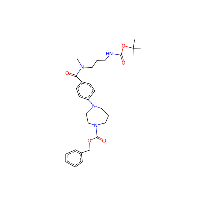 CN(CCCNC(=O)OC(C)(C)C)C(=O)c1ccc(N2CCCN(C(=O)OCc3ccccc3)CC2)cc1